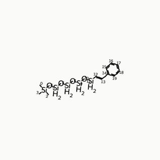 C[Si](C)(C)O[SiH2]O[SiH2]O[SiH2]O[SiH2]C=Cc1ccccc1